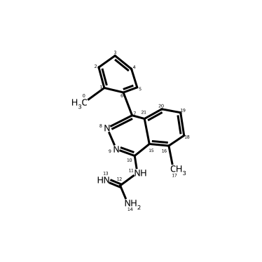 Cc1ccccc1-c1nnc(NC(=N)N)c2c(C)cccc12